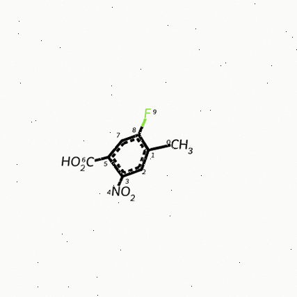 Cc1cc([N+](=O)[O-])c(C(=O)O)cc1F